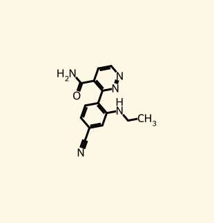 CCNc1cc(C#N)ccc1-c1nnccc1C(N)=O